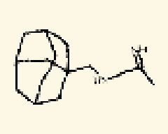 CC(=N)NCC12CC3CC(CC(C3)C1)C2